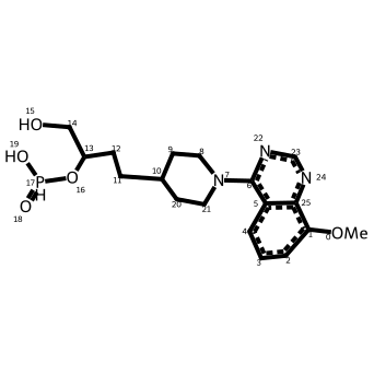 COc1cccc2c(N3CCC(CCC(CO)O[PH](=O)O)CC3)ncnc12